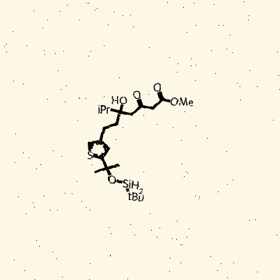 COC(=O)CC(=O)CC(O)(CCc1csc(C(C)(C)O[SiH2]C(C)(C)C)c1)C(C)C